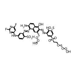 Nc1ccc2c(O)c(/N=N/c3cc(S(=O)(=O)CCOSOOO)ccc3S(=O)(=O)O)c(SOOO)cc2c1/N=N/c1cc(Nc2cc(F)nc(F)n2)ccc1S(=O)(=O)O